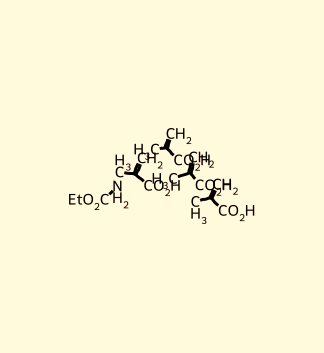 C=C(C)C(=O)O.C=C(C)C(=O)O.C=C(C)C(=O)O.C=C(C)C(=O)O.CCOC(N)=O